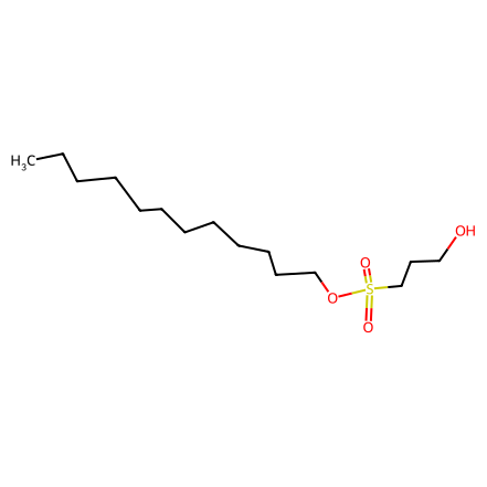 CCCCCCCCCCCCOS(=O)(=O)CCCO